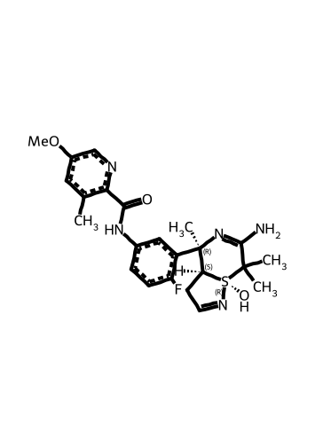 COc1cnc(C(=O)Nc2ccc(F)c([C@@]3(C)N=C(N)C(C)(C)[S@@]4(O)N=CC[C@@H]34)c2)c(C)c1